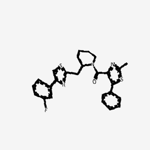 Cc1nc(C(=O)N2CCCCC2Cc2nc(-c3cccc(F)c3)cs2)c(-c2ccccc2)s1